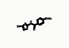 CCc1csc(NC(=O)c2ccc(NC(C)=O)cc2)n1